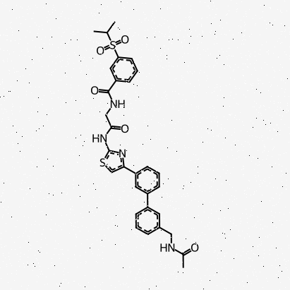 CC(=O)NCc1cccc(-c2cccc(-c3csc(NC(=O)CNC(=O)c4cccc(S(=O)(=O)C(C)C)c4)n3)c2)c1